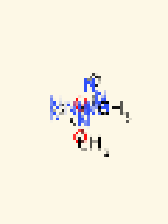 COCc1ccc(Nc2cncnc2)c(C(=O)Nc2cc(-c3ccccn3)nn2C)n1